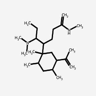 C=C(CCC(C(CC)N(C)C)C1(C)CC(C(=C)C)C(C)CC1C)NC